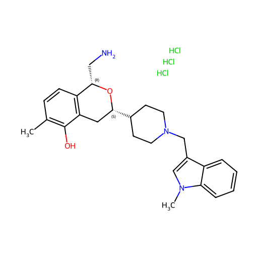 Cc1ccc2c(c1O)C[C@@H](C1CCN(Cc3cn(C)c4ccccc34)CC1)O[C@H]2CN.Cl.Cl.Cl